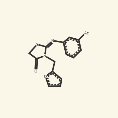 CC(=O)c1cccc(/N=C2/SCC(=O)N2Cc2ccco2)c1